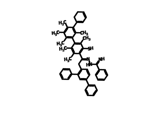 Cc1c(C)c(C2=CC=CCC2)c(C)c(-c2c(C)c(C)c(/C(Cc3ccc(-c4ccccc4)cc3-c3ccccc3)=N/NC(=N)c3ccccc3)c(S)c2C)c1C